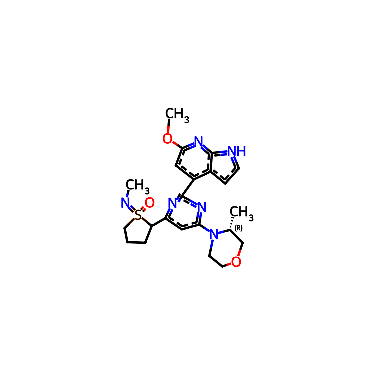 CN=S1(=O)CCCC1c1cc(N2CCOC[C@H]2C)nc(-c2cc(OC)nc3[nH]ccc23)n1